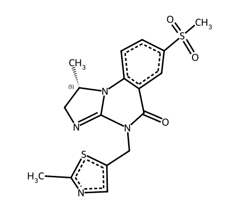 Cc1ncc(CN2C(=O)c3cc(S(C)(=O)=O)ccc3N3C2=NC[C@@H]3C)s1